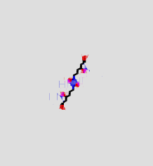 NC(=O)C(CC=C=O)CCCC1NC(=O)C(CCCC(CC=C=O)C(N)=O)NC1=O